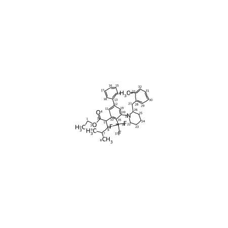 CCOC(=O)C(CC(C)C)c1cc(-c2ccccc2)cc(N2CCCCC2Cc2ccccc2C)c1C(F)(F)F